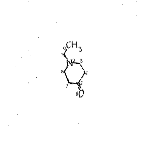 C[CH]N1CCC(=O)CC1